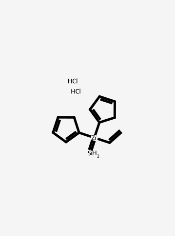 C=[CH][Zr](=[SiH2])([C]1=CC=CC1)[C]1=CC=CC1.Cl.Cl